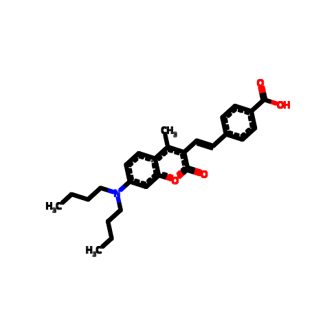 CCCCN(CCCC)c1ccc2c(C)c(/C=C/c3ccc(C(=O)O)cc3)c(=O)oc2c1